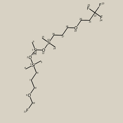 C[SiH](O[Si](C)(C)CCCOCF)O[Si](C)(C)CCCOCCC(F)(F)F